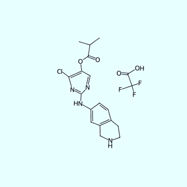 CC(C)C(=O)Oc1cnc(Nc2ccc3c(c2)CNCC3)nc1Cl.O=C(O)C(F)(F)F